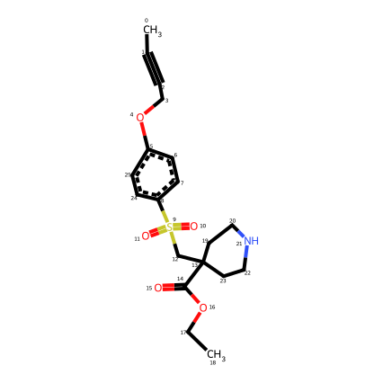 CC#CCOc1ccc(S(=O)(=O)CC2(C(=O)OCC)CCNCC2)cc1